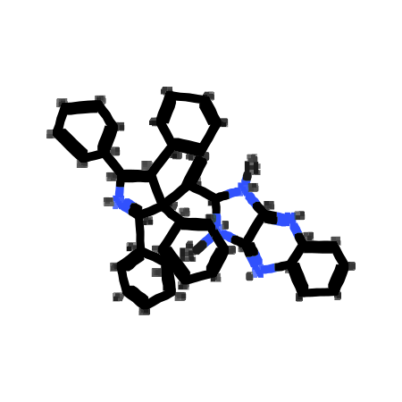 C=C(C1N(CC)c2nc3ccccc3nc2N1CC)C1(c2ccccc2)C(c2ccccc2)=NC(c2ccccc2)=C1c1ccccc1